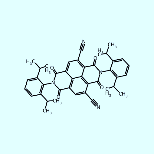 CC(C)c1cccc(C(C)C)c1N1C(=O)c2cc(C#N)c3c4c(c(C#N)cc(c24)C1=O)C(=O)N(c1c(C(C)C)cccc1C(C)C)C3=O